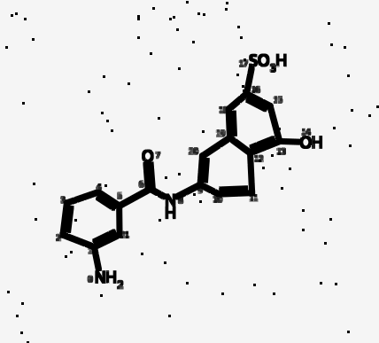 Nc1cccc(C(=O)Nc2ccc3c(O)cc(S(=O)(=O)O)cc3c2)c1